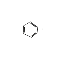 F.S.c1ccccc1